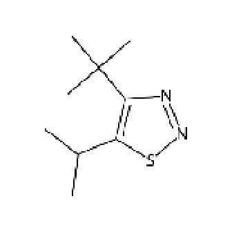 CC(C)c1snnc1C(C)(C)C